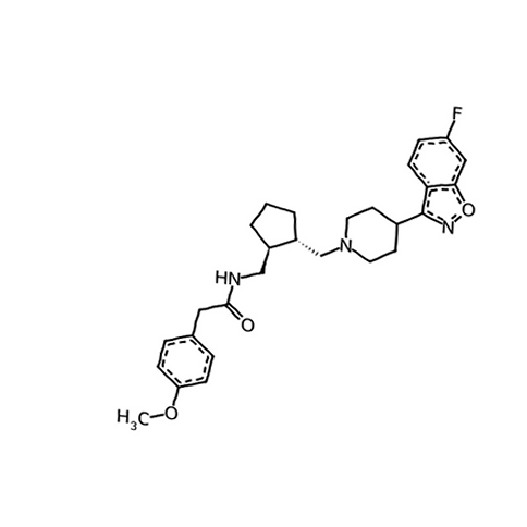 COc1ccc(CC(=O)NC[C@H]2CCC[C@@H]2CN2CCC(c3noc4cc(F)ccc34)CC2)cc1